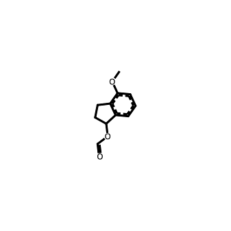 COc1cccc2c1CCC2OC=O